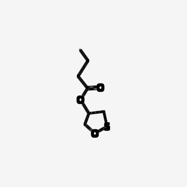 CCCC(=O)OC1COSC1